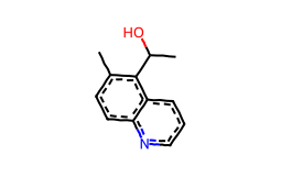 Cc1ccc2ncccc2c1C(C)O